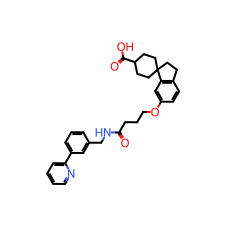 O=C(CCCOc1ccc2c(c1)C1(CC2)CCC(C(=O)O)CC1)NCc1cccc(-c2ccccn2)c1